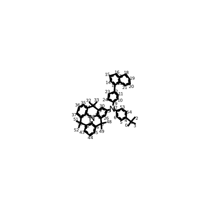 CC(C)(C)c1ccc(N(c2ccc(-c3cccc4ccccc34)cc2)c2cc3c4c(c2)C(C)(C)c2cccc5c2N4c2c(cccc2C3(C)C)C5(C)C)cc1